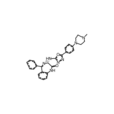 CN1CCN(c2ccc(-c3nnc(N[C@H]4N=C(c5ccccc5)c5ccccc5NC4=O)o3)cc2)CC1